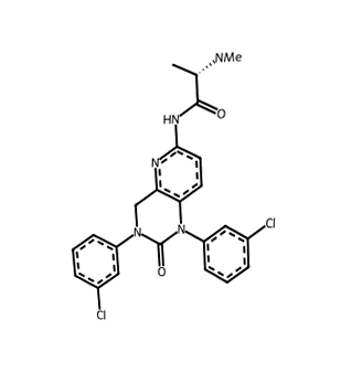 CN[C@@H](C)C(=O)Nc1ccc2c(n1)CN(c1cccc(Cl)c1)C(=O)N2c1cccc(Cl)c1